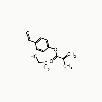 C=C(C)C(=O)Oc1ccc(C=O)cc1.CCO